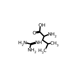 CC(C)CC(N)C(=O)O.N=C(N)N